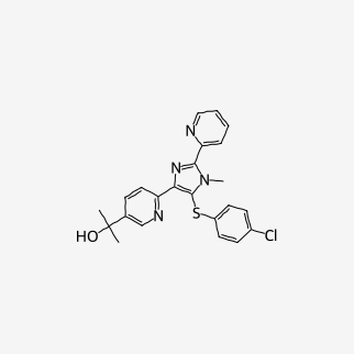 Cn1c(-c2ccccn2)nc(-c2ccc(C(C)(C)O)cn2)c1Sc1ccc(Cl)cc1